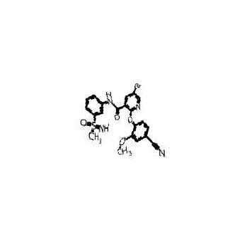 COc1cc(C#N)ccc1Oc1ncc(Br)cc1C(=O)Nc1cccc(S(C)(=N)=O)c1